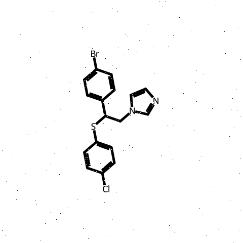 Clc1ccc(SC(Cn2ccnc2)c2ccc(Br)cc2)cc1